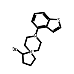 BrC1CCC[N+]12CCN(c1cccc3sccc13)CC2